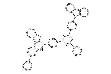 c1ccc(-c2ccc3c(c2)nc(-c2ccc(-c4nc(-c5ccccc5)nc(-c5ccc(-n6c7ccccc7c7ccccc76)cc5)n4)cc2)c2sc4ccccc4c23)cc1